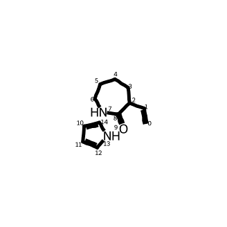 C=CC1CCCCNC1=O.c1cc[nH]c1